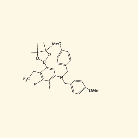 COc1ccc(CN(Cc2ccc(OC)cc2)c2cc(B3OC(C)(C)C(C)(C)O3)c(CC(F)(F)F)c(F)c2F)cc1